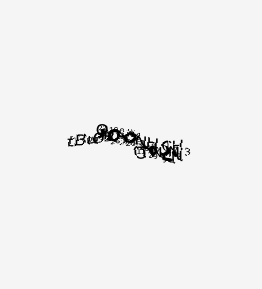 Cc1nnccc1N1CC(C(=O)Nc2ccc(C3CCN(C(=O)OC(C)(C)C)CC3)cc2)C1